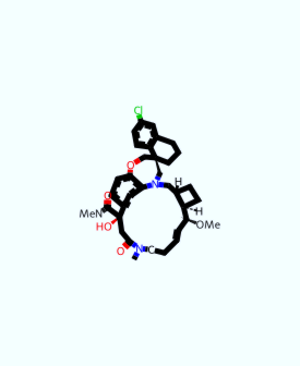 CNC(=O)[C@@]1(O)CC(=O)N(C)CC/C=C/[C@H](OC)[C@@H]2CC[C@H]2CN2C[C@@]3(CCCc4cc(Cl)ccc43)COc3ccc1cc32